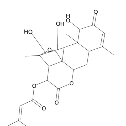 CC(C)=CC(=O)OC1C(=O)OC2CC3C(C)=CC(=O)C(O)C3(C)C3C(O)C(O)C4(C)OCC23C14